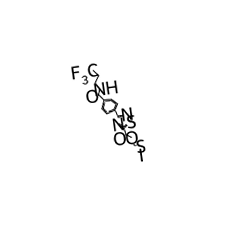 O=C(NCCC(F)(F)F)c1ccc(-c2nsc(C(=O)OCSI)n2)cc1